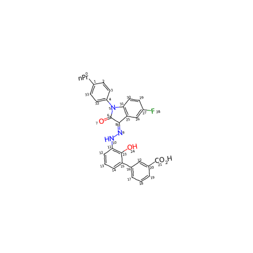 CCCc1ccc(N2C(=O)C(=NNc3cccc(-c4cccc(C(=O)O)c4)c3O)c3cc(F)ccc32)cc1